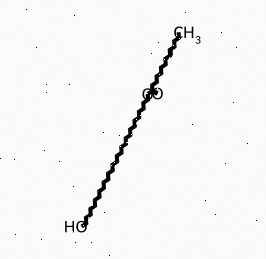 CCCCC=CCCCCCCCC(=O)OCCCCCCCCCCCCCCCCCCCCCCCCCCCCCO